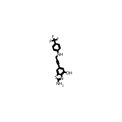 Nc1nc2c(O)cc(C#CCNc3ccc(C(F)(F)F)cc3)cc2s1